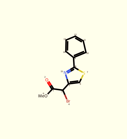 COC(=O)C(Br)c1csc(-c2ccccc2)n1